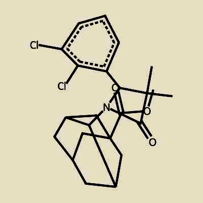 COC(=O)C12CC3CC(C1)C(N1C(=O)C(C)(C)C1c1cccc(Cl)c1Cl)C(C3)C2